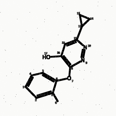 Cc1ccccc1Oc1nnc(C2CC2)cc1O